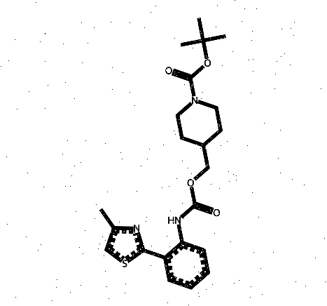 Cc1csc(-c2ccccc2NC(=O)OCC2CCN(C(=O)OC(C)(C)C)CC2)n1